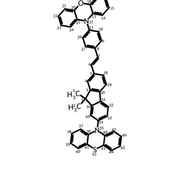 CC1(C)c2cc(/C=C/c3ccc(N4c5ccccc5Oc5ccccc54)cc3)ccc2-c2ccc(N3c4ccccc4Sc4ccccc43)cc21